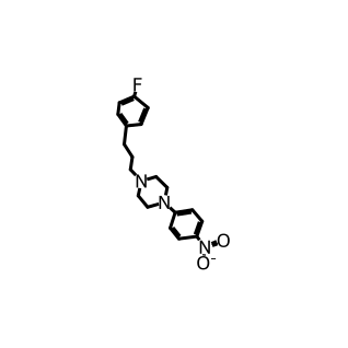 O=[N+]([O-])c1ccc(N2CCN(CCCc3ccc(F)cc3)CC2)cc1